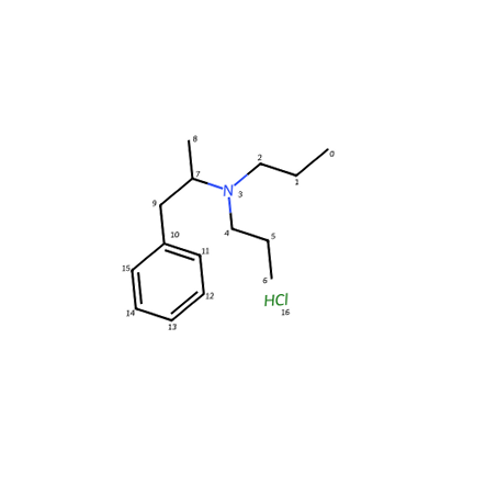 CCCN(CCC)C(C)Cc1ccccc1.Cl